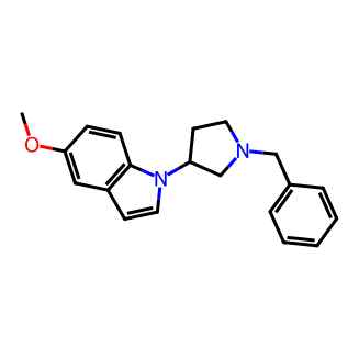 COc1ccc2c(ccn2C2CCN(Cc3ccccc3)C2)c1